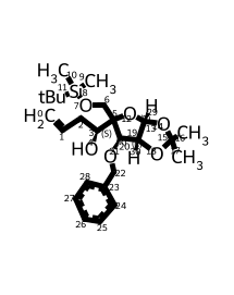 C=CC[C@H](O)C1(CO[Si](C)(C)C(C)(C)C)O[C@@H]2OC(C)(C)O[C@@H]2[C@H]1OCc1ccccc1